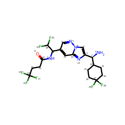 N[C@H](c1cn2ncc(C(NC(=O)CCC(F)(F)F)C(F)F)cc2n1)C1CCC(F)(F)CC1